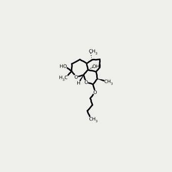 CCCCOC1O[C@@H]2OC(C)(O)CCC3[C@H](C)CCC([C@H]1C)[C@]32O